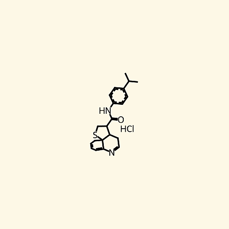 CC(C)c1ccc(NC(=O)C2CSC34CC=CC=C3N=CCC24)cc1.Cl